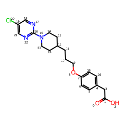 O=C(O)Cc1ccc(OCCCC2CCN(c3ncc(Cl)cn3)CC2)cc1